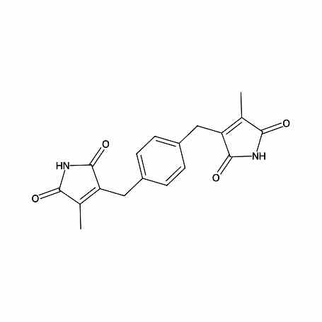 CC1=C(Cc2ccc(CC3=C(C)C(=O)NC3=O)cc2)C(=O)NC1=O